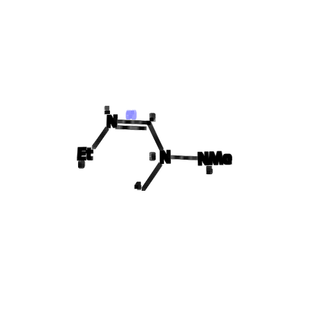 CC/N=C\N(C)NC